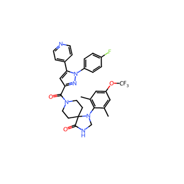 Cc1cc(OC(F)(F)F)cc(C)c1N1CNC(=O)C12CCN(C(=O)c1cc(-c3ccncc3)n(-c3ccc(F)cc3)n1)CC2